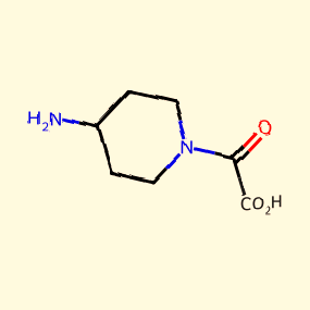 NC1CCN(C(=O)C(=O)O)CC1